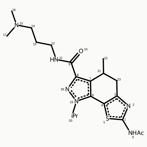 CC(=O)Nc1nc2c(s1)-c1c(c(C(=O)NCCCN(C)C)nn1C(C)C)C(C)C2